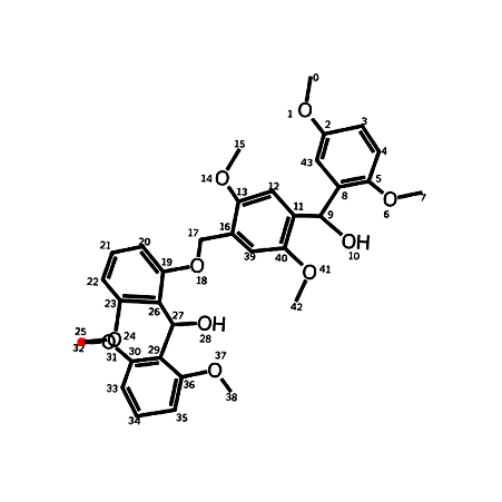 COc1ccc(OC)c(C(O)c2cc(OC)c(COc3cccc(OC)c3C(O)c3c(OC)cccc3OC)cc2OC)c1